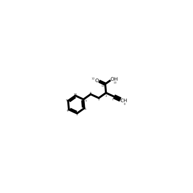 C#CC(CCc1ccccc1)C(=O)O